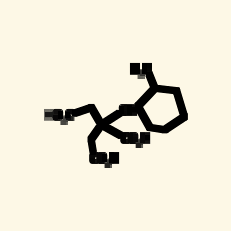 NC1CCCCC1.O=C(O)CC(O)(CC(=O)O)C(=O)O